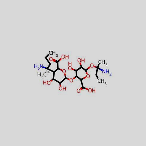 CCC[C@](C)(N)C1C(C(=O)O)OC(OC2C(C(=O)O)OC(OC(C)(N)CC)C(O)C2O)C(O)C1O